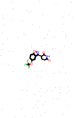 O=C1CCC(c2noc3ccc(OC(F)(F)F)cc23)C(=O)N1